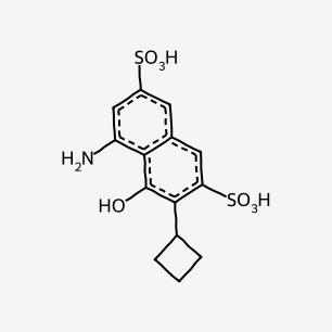 Nc1cc(S(=O)(=O)O)cc2cc(S(=O)(=O)O)c(C3CCC3)c(O)c12